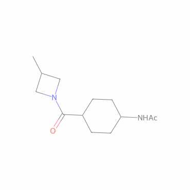 CC(=O)NC1CCC(C(=O)N2CC(C)C2)CC1